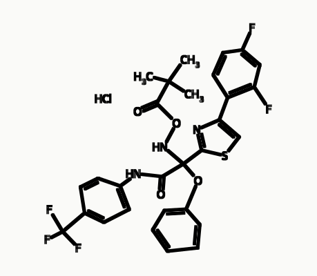 CC(C)(C)C(=O)ONC(Oc1ccccc1)(C(=O)Nc1ccc(C(F)(F)F)cc1)c1nc(-c2ccc(F)cc2F)cs1.Cl